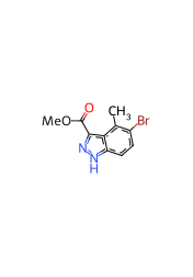 COC(=O)c1n[nH]c2ccc(Br)c(C)c12